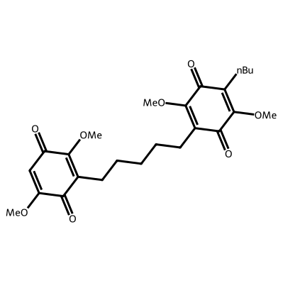 CCCCC1=C(OC)C(=O)C(CCCCCC2=C(OC)C(=O)C=C(OC)C2=O)=C(OC)C1=O